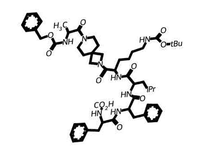 CC(C)CC(NC(=O)C(Cc1ccccc1)NC(=O)C(Cc1ccccc1)NC(=O)O)C(=O)NC(CCCCNC(=O)OC(C)(C)C)C(=O)N1CC2(CCN(C(=O)C(C)NC(=O)OCc3ccccc3)CC2)C1